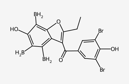 Bc1c(O)c(B)c2oc(CC)c(C(=O)c3cc(Br)c(O)c(Br)c3)c2c1B